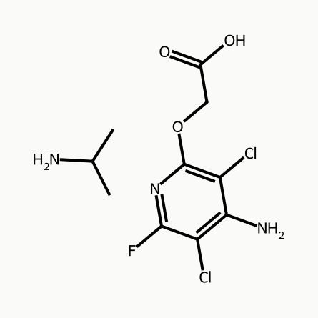 CC(C)N.Nc1c(Cl)c(F)nc(OCC(=O)O)c1Cl